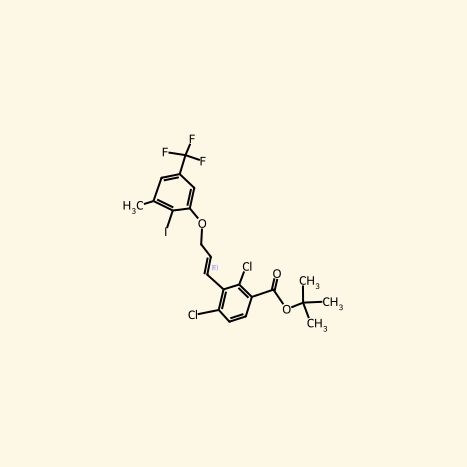 Cc1cc(C(F)(F)F)cc(OC/C=C/c2c(Cl)ccc(C(=O)OC(C)(C)C)c2Cl)c1I